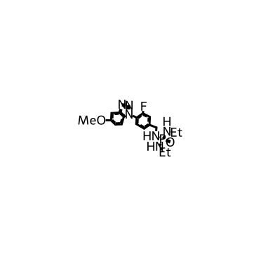 CCNP(=O)(NCC)NCc1ccc(-n2nnc3cc(OC)ccc32)c(F)c1